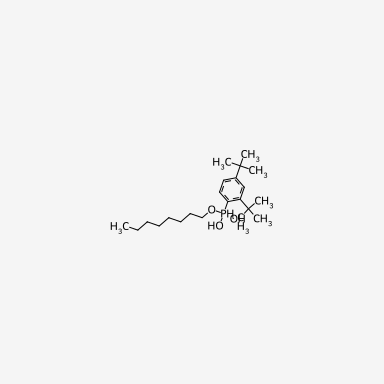 CCCCCCCCO[PH](O)(O)c1ccc(C(C)(C)C)cc1C(C)(C)C